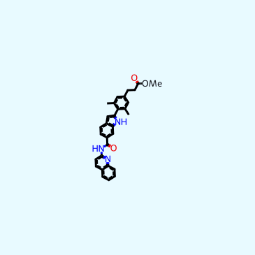 COC(=O)CCc1cc(C)c(-c2cc3ccc(C(=O)Nc4ccc5ccccc5n4)cc3[nH]2)c(C)c1